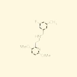 COc1ccc(OC)c(CCNCc2cc(C)cc(F)c2)n1